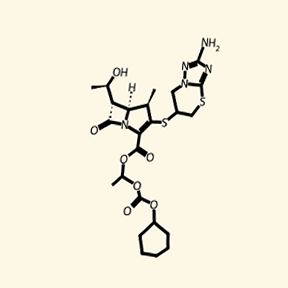 CC(OC(=O)OC1CCCCC1)OC(=O)C1=C(SC2CSc3nc(N)nn3C2)[C@H](C)[C@@H]2[C@@H]([C@@H](C)O)C(=O)N12